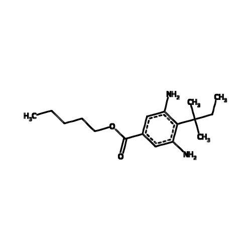 CCCCCOC(=O)c1cc(N)c(C(C)(C)CC)c(N)c1